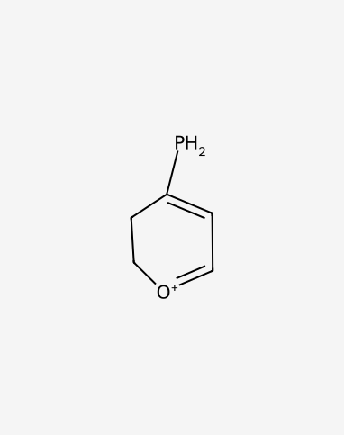 PC1=CC=[O+]CC1